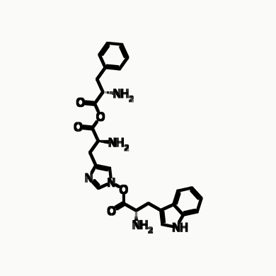 N[C@@H](Cc1ccccc1)C(=O)OC(=O)[C@@H](N)Cc1cn(OC(=O)[C@@H](N)Cc2c[nH]c3ccccc23)cn1